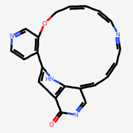 O=C1N=CC2=CC=CC=NC=CC=CCOc3cnccc3-c3cc1c2[nH]3